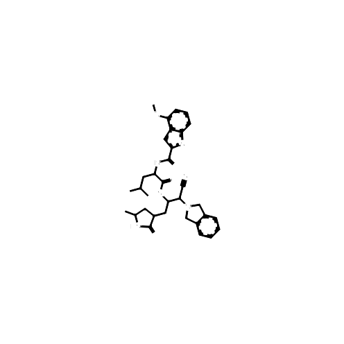 COc1cccc2[nH]c(C(=O)NC(CC(C)C)C(=O)NC(CC3CC(C)NC3=O)C(C#N)N3Cc4ccccc4C3)cc12